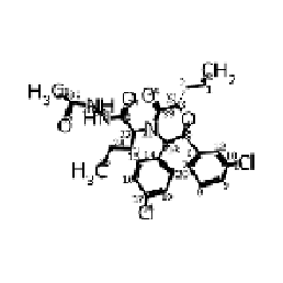 C=CC[C@@H]1O[C@@H](c2cccc(Cl)c2)[C@@H](c2ccc(Cl)cc2)N(C(CCC)C(=O)NNC(C)=O)C1=O